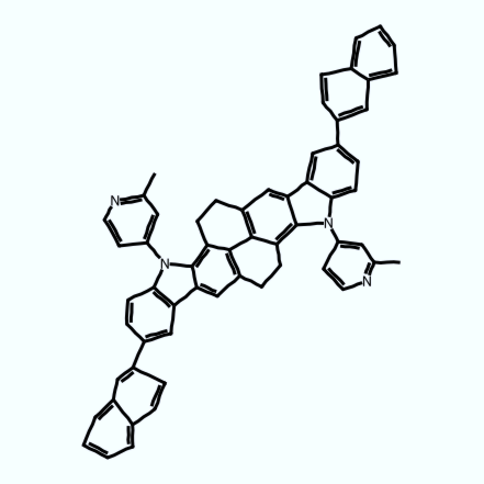 Cc1cc(-n2c3ccc(-c4ccc5ccccc5c4)cc3c3cc4c5c(c32)CCc2cc3c6cc(-c7ccc8ccccc8c7)ccc6n(-c6ccnc(C)c6)c3c(c2-5)CC4)ccn1